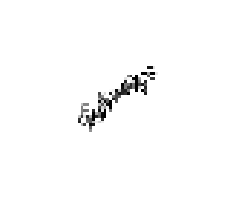 Cc1cc(C(F)(F)F)nn1CC(=O)N1CC2CN(c3nc(C4=NOC(c5c(F)cccc5F)C4)cs3)CC2C1